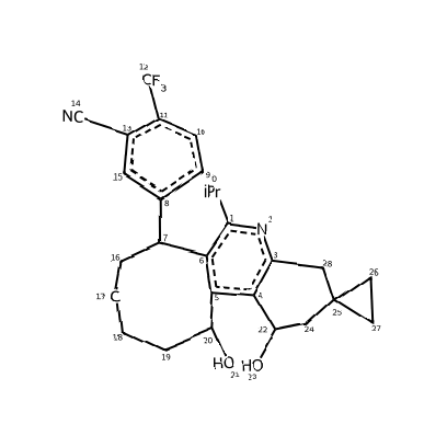 CC(C)c1nc2c(c3c1C(c1ccc(C(F)(F)F)c(C#N)c1)CCCCC3O)C(O)CC1(CC1)C2